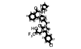 O=C(Nc1nccs1)c1ccccc1-n1cnc(Cn2nc(-c3ccc(Cl)cc3)n(CC(O)C(F)(F)F)c2=O)n1